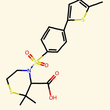 Cc1ccc(-c2ccc(S(=O)(=O)N3CCSC(C)(C)C3C(=O)O)cc2)s1